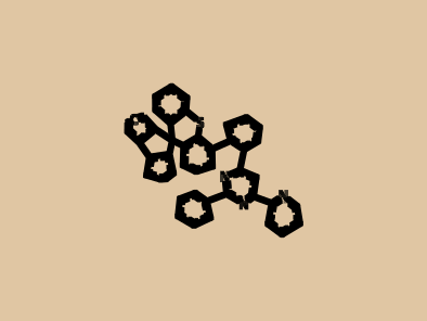 c1ccc(-c2nc(-c3ccccn3)cc(-c3ccccc3-c3cccc4c3Sc3ccccc3C43c4ccccc4-c4ccccc43)n2)cc1